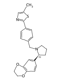 Cc1cnc(-c2ccc(CN3CCC[C@H]3c3ccc4c(c3)OCCO4)cc2)s1